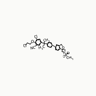 CC(C)(c1ccc(-c2ccc3c(c2)COC32CN(S(C)(=O)=O)C2)cc1)c1cc(Cl)c(OCCCl)c(C#N)c1